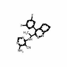 CC(Nc1ncnc(N)c1C#N)c1nnc2ccccc2c1-c1cc(F)cc(F)c1